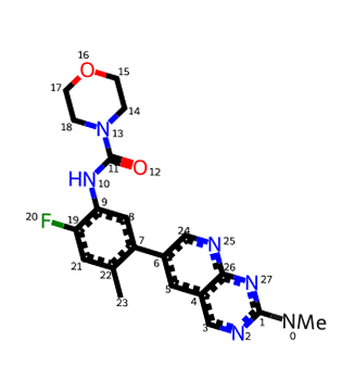 CNc1ncc2cc(-c3cc(NC(=O)N4CCOCC4)c(F)cc3C)cnc2n1